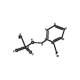 CCS(=O)(=O)OCc1ccccc1F